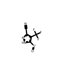 N#Cc1n[nH]c([S+]=O)c1C(F)(F)F